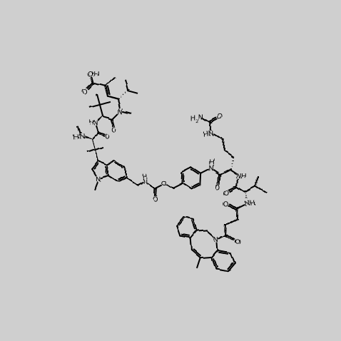 CN[C@@H](C(=O)N[C@H](C(=O)N(C)[C@H](/C=C(\C)C(=O)O)C(C)C)C(C)(C)C)C(C)(C)c1cn(C)c2cc(CNC(=O)OCc3ccc(NC(=O)[C@H](CCCNC(N)=O)NC(=O)[C@@H](NC(=O)CCC(=O)N4Cc5ccccc5/C=C(/C)c5ccccc54)C(C)C)cc3)ccc12